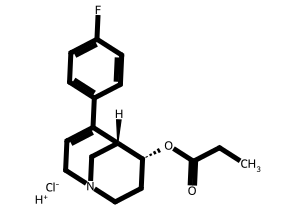 CCC(=O)O[C@@H]1CCN2CC=C(c3ccc(F)cc3)[C@H]1C2.[Cl-].[H+]